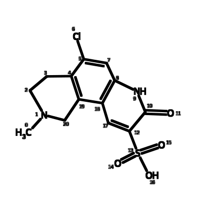 CN1CCc2c(Cl)cc3[nH]c(=O)c(S(=O)(=O)O)cc3c2C1